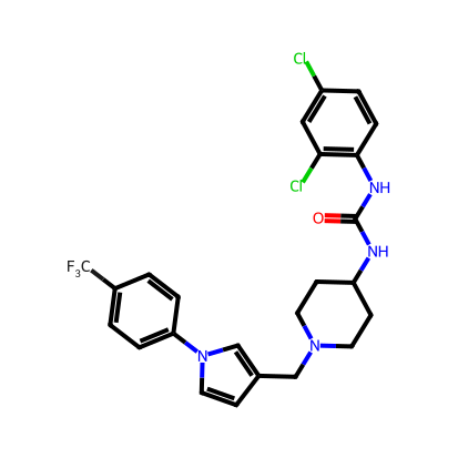 O=C(Nc1ccc(Cl)cc1Cl)NC1CCN(Cc2ccn(-c3ccc(C(F)(F)F)cc3)c2)CC1